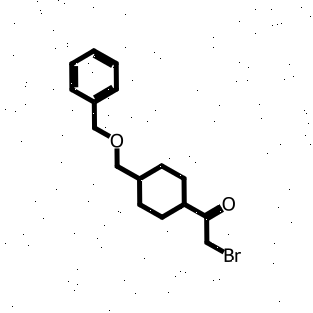 O=C(CBr)C1CCC(COCc2ccccc2)CC1